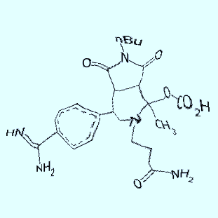 CCCCN1C(=O)C2C(c3ccc(C(=N)N)cc3)N(CCC(N)=O)C(C)(OC(=O)O)C2C1=O